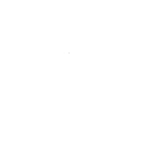 O=C(SCc1ccccc1-c1ccccc1)SCc1ccccc1-c1ccccc1